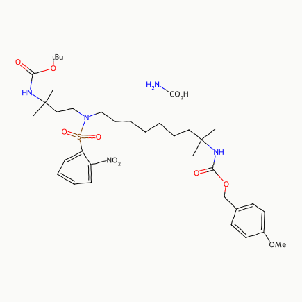 COc1ccc(COC(=O)NC(C)(C)CCCCCCCN(CCC(C)(C)NC(=O)OC(C)(C)C)S(=O)(=O)c2ccccc2[N+](=O)[O-])cc1.NC(=O)O